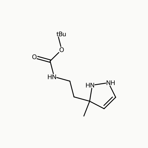 CC1(CCNC(=O)OC(C)(C)C)C=CNN1